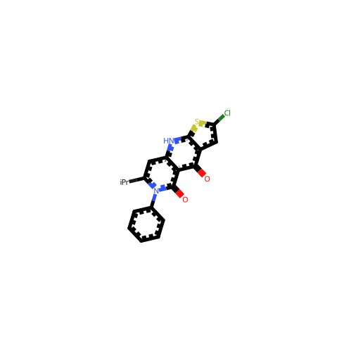 CC(C)c1cc2[nH]c3sc(Cl)cc3c(=O)c2c(=O)n1-c1ccccc1